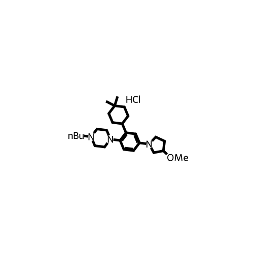 CCCCN1CCN(c2ccc(N3CCC(OC)C3)cc2C2CCC(C)(C)CC2)CC1.Cl